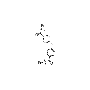 CC(C)(Br)C(=O)c1ccc(Cc2ccc(C(=O)C(C)(C)Br)cc2)cc1